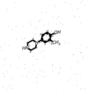 Cc1cc(N2CCNCC2)ccc1O